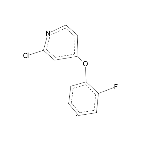 Fc1c[c]ccc1Oc1ccnc(Cl)c1